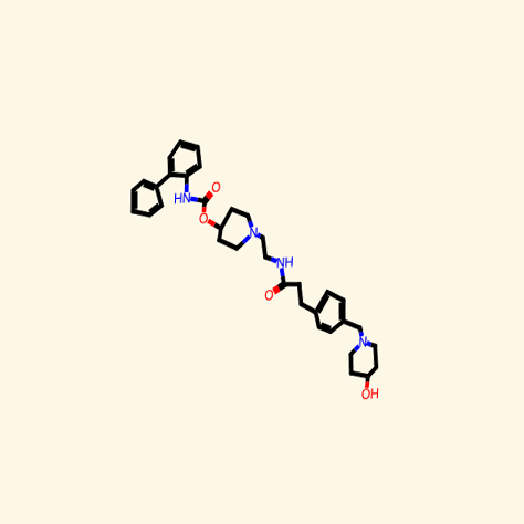 O=C(CCc1ccc(CN2CCC(O)CC2)cc1)NCCN1CCC(OC(=O)Nc2ccccc2-c2ccccc2)CC1